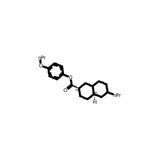 CCCOc1ccc(OC(=O)[C@@H]2CC[C@@H]3CC(CCC)CCC3C2)cc1